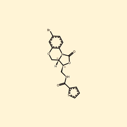 O=C(NC[C@@H]1OC(=O)N2c3ccc(Br)cc3OC[C@@H]12)c1cccs1